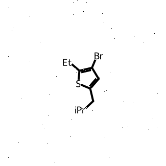 CCc1sc(CC(C)C)cc1Br